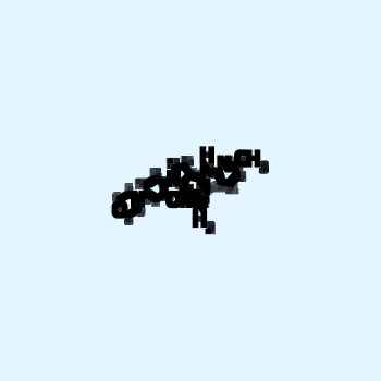 COc1cc(N2CCOCC2)ccc1N1CCc2c(Nc3cccc(C)n3)nc(N)nc21